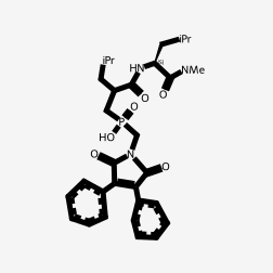 CNC(=O)[C@H](CC(C)C)NC(=O)C(CC(C)C)CP(=O)(O)CN1C(=O)C(c2ccccc2)=C(c2ccccc2)C1=O